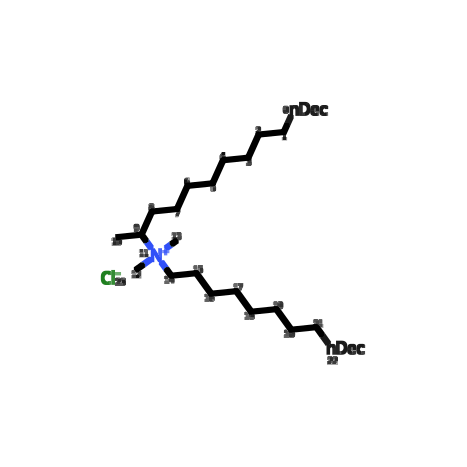 CCCCCCCCCCCCCCCCCCC(C)[N+](C)(C)CCCCCCCCCCCCCCCCCC.[Cl-]